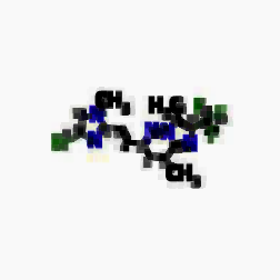 Cc1cc(C=Cc2nc(Br)cn2C)nn2c(C)c(C(F)(F)F)nc12